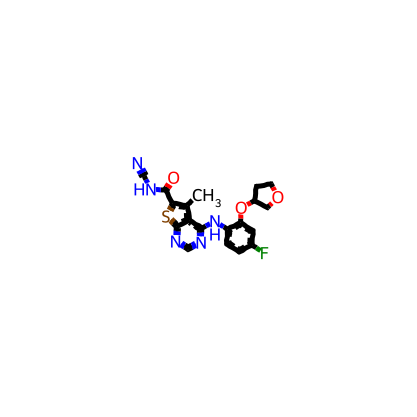 Cc1c(C(=O)NC#N)sc2ncnc(Nc3ccc(F)cc3OC3CCOC3)c12